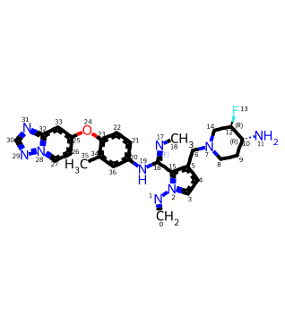 C=Nn1ccc(CN2CC[C@@H](N)[C@H](F)C2)c1/C(=N\C)Nc1ccc(Oc2ccn3ncnc3c2)c(C)c1